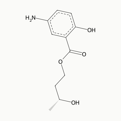 C[C@@H](O)CCOC(=O)c1cc(N)ccc1O